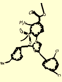 COC(=O)c1ccc(-n2cc(-c3ccc(Cl)cc3Cl)nc2Cc2ccc(Br)cc2)c(S(C)(=O)=O)c1N